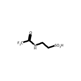 O=C(NCCS(=O)(=O)O)C(F)(F)F